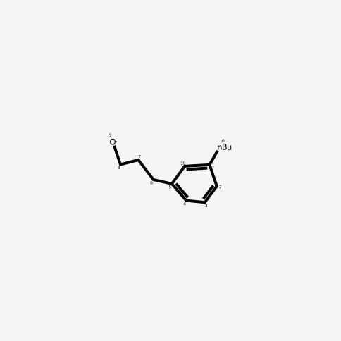 CCCCc1cccc(CCC[O])c1